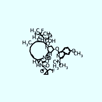 COc1ccc2c(O[C@@H]3C[C@H]4C(=O)N[C@]5(C(=O)NS(=O)(=O)C6(CF)CC6)C[C@H]5C=CCC[C@@H](C)C[C@@H](C)[C@H](N(C(=O)O)C(C)(C)C(C)(F)F)C(=O)N4C3)nc(N(C)C)cc2c1